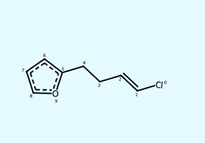 ClC=CCCc1ccco1